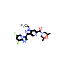 CC1CN(C(=O)c2cc3c(cn2)c(-c2cnc4c(F)cc(F)cn24)nn3CC(F)(F)F)CC(C)O1